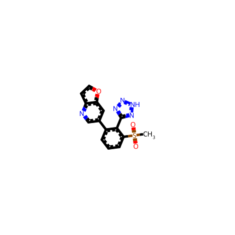 CS(=O)(=O)c1cccc(-c2cnc3ccoc3c2)c1-c1nn[nH]n1